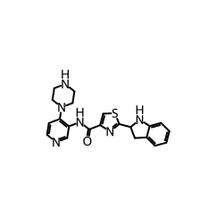 O=C(Nc1cnccc1N1CCNCC1)c1csc(C2Cc3ccccc3N2)n1